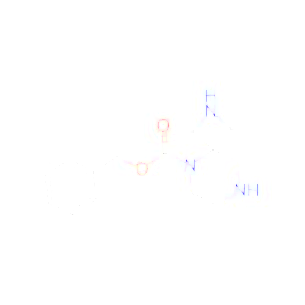 O=C(OCc1ccccc1)N1CCNCC12CNC2